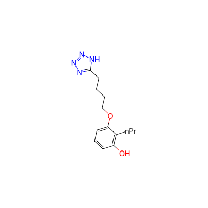 CCCc1c(O)cccc1OCCCCc1nnn[nH]1